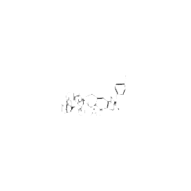 CC(=O)[C@]12Cc3cnn(-c4ccc(F)cc4)c3C=C1CCN(S(=O)(=O)c1ccnn1C)C2